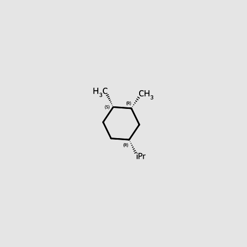 CC(C)[C@@H]1CC[C@H](C)[C@H](C)C1